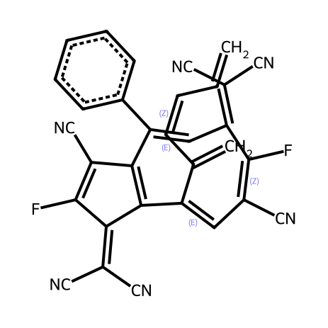 C=C/C=C\C(=C)/C1=C\C(C#N)=C(\F)C(=C(C#N)C#N)/C=C(\c2ccccc2)C2=C1C(=C(C#N)C#N)C(F)=C2C#N